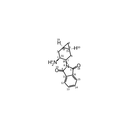 N[C@H]1C[C@H]2C[C@H]2C[C@H]1N1C(=O)c2ccccc2C1=O